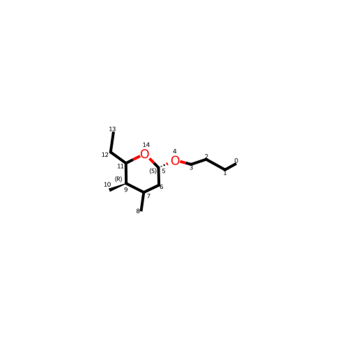 CCCCO[C@@H]1CC(C)[C@@H](C)C(CC)O1